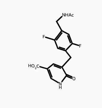 CC(=O)NCc1cc(F)c(Cc2cc(C(=O)O)c[nH]c2=O)cc1F